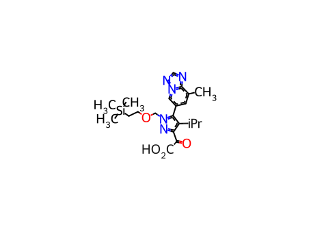 Cc1cc(-c2c(C(C)C)c(C(=O)C(=O)O)nn2COCC[Si](C)(C)C)cn2ncnc12